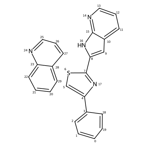 c1ccc(-c2csc(-c3cc4cccnc4[nH]3)n2)cc1.c1ccc2ncccc2c1